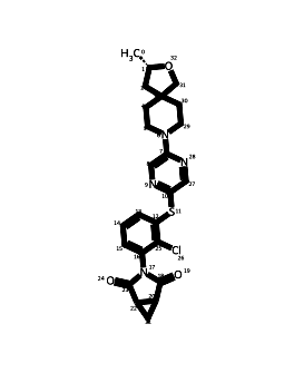 C[C@H]1CC2(CCN(c3cnc(Sc4cccc(N5C(=O)C6CC6C5=O)c4Cl)cn3)CC2)CO1